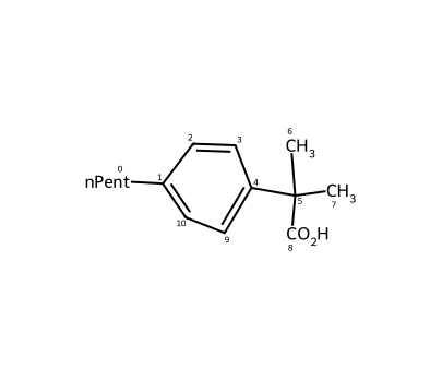 CCCCCc1ccc(C(C)(C)C(=O)O)cc1